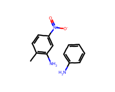 Cc1ccc([N+](=O)[O-])cc1N.Nc1ccccc1